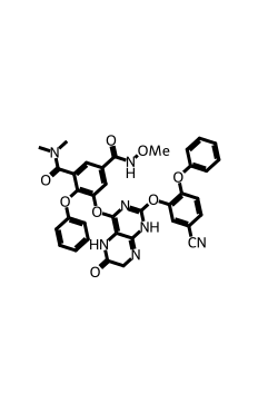 CONC(=O)c1cc(OC2=C3NC(=O)CN=C3NC(Oc3cc(C#N)ccc3Oc3ccccc3)=N2)c(Oc2ccccc2)c(C(=O)N(C)C)c1